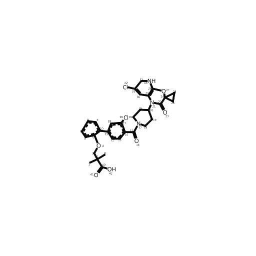 CC(C)(COc1ccccc1-c1ccc(C(=O)N2CCC(N3C(=O)C4(CC4)OC4=C3C=C(Cl)CN4)CC2)c(Cl)c1)C(=O)O